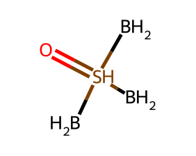 B[SH](B)(B)=O